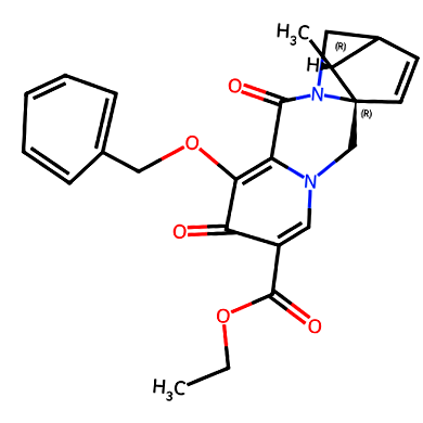 CCOC(=O)c1cn2c(c(OCc3ccccc3)c1=O)C(=O)N1CC3C=C[C@@]1(C2)[C@@H]3C